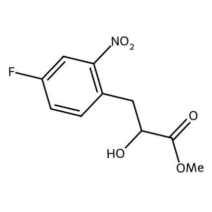 COC(=O)C(O)Cc1ccc(F)cc1[N+](=O)[O-]